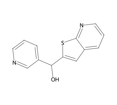 OC(c1cccnc1)c1cc2cccnc2s1